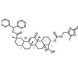 Cc1oc(=O)oc1COC(=O)O[C@H]1CC[C@@]2(C)[C@@H](CC[C@]3(C)[C@@H]2C(=O)C=C2[C@@H]4C[C@@](C)(C(=O)OC(c5ccccc5)c5ccccc5)CC[C@]4(C)CC[C@]23C)[C@]1(C)C(=O)O